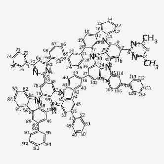 Cc1cc(C)nc(-c2cc(-n3c4ccccc4c4ccc(-c5ccccc5)cc43)c(C#N)c(-n3c4ccc(-c5ccc6c(c5)c5cc(-c7ccccc7)ccc5n6-c5cc(-c6nc(-c7ccccc7)cc(-c7ccccc7)n6)cc(-n6c7ccccc7c7cc(-c8ccccc8)ccc76)c5C#N)cc4c4ccc(-c5ccccc5)cc43)c2)n1